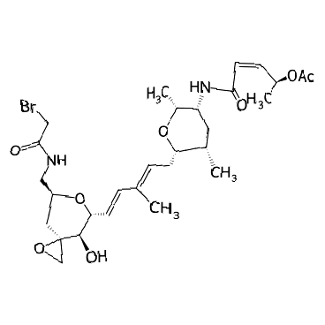 CC(=O)O[C@@H](C)/C=C\C(=O)N[C@@H]1C[C@H](C)[C@H](C/C=C(C)/C=C/[C@H]2O[C@H](CNC(=O)CBr)C[C@@]3(CO3)[C@@H]2O)O[C@@H]1C